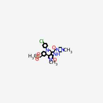 CN1CCN(C(=O)c2[nH]c3c(=O)n(C)cc4c3c2CN(c2ccc(Cl)cc2)c2ccc(CS(C)(=O)=O)cc2-4)CC1